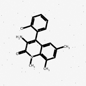 Cc1cc(C)c2c(c1)c(-c1ccccc1Cl)c(N)c(=O)n2C